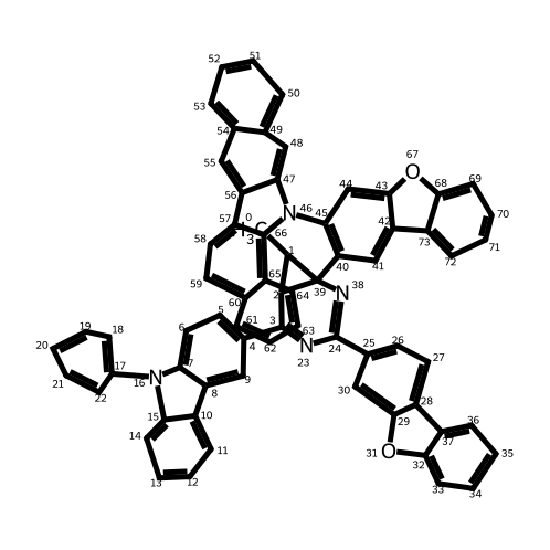 CC1C2C(c3ccc4c(c3)c3ccccc3n4-c3ccccc3)=NC(c3ccc4c(c3)oc3ccccc34)=NC12c1cc2c(cc1-n1c3cc4ccccc4cc3c3ccc4ccccc4c31)oc1ccccc12